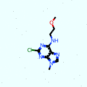 COCCNc1nc(Cl)nc2c1ncn2C